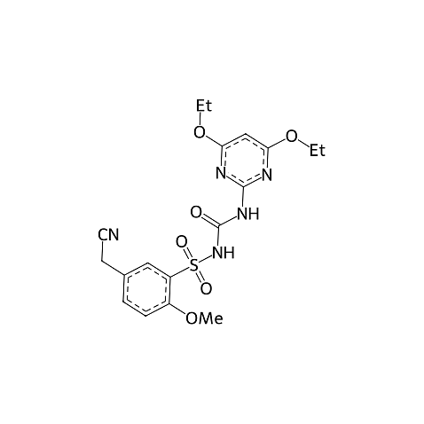 CCOc1cc(OCC)nc(NC(=O)NS(=O)(=O)c2cc(CC#N)ccc2OC)n1